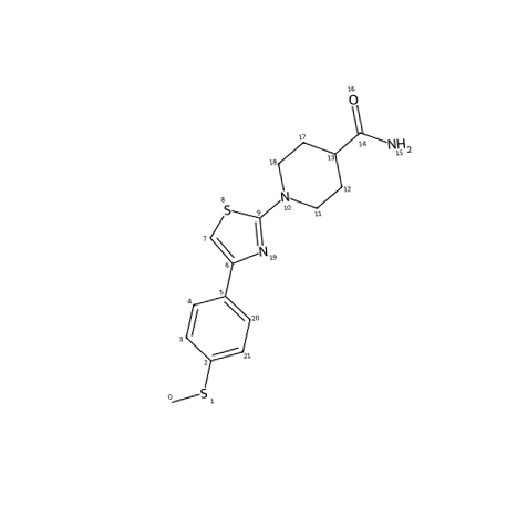 CSc1ccc(-c2csc(N3CCC(C(N)=O)CC3)n2)cc1